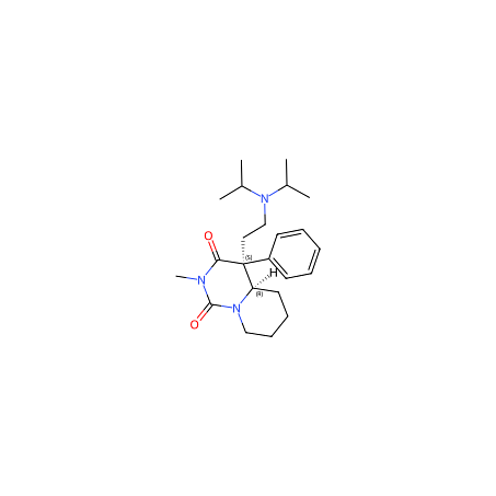 CC(C)N(CC[C@@]1(c2ccccc2)C(=O)N(C)C(=O)N2CCCC[C@@H]21)C(C)C